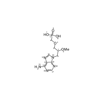 COC(COCP(=O)(O)O)Cn1cnc2c(N)ncnc21